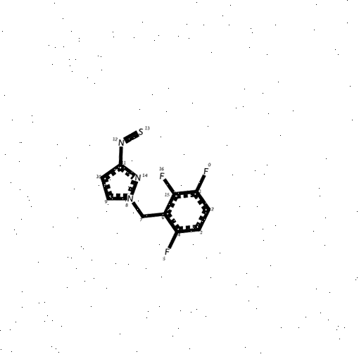 Fc1ccc(F)c(Cn2ccc(N=S)n2)c1F